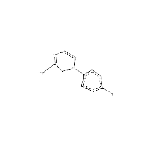 Fc1ccc(N2C=CN=C(Cl)C2)cc1